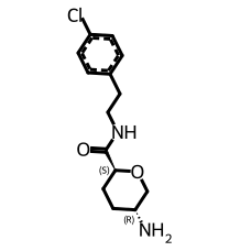 N[C@@H]1CC[C@@H](C(=O)NCCc2ccc(Cl)cc2)OC1